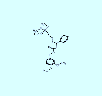 COc1ccc(COC(=O)CC(SCCC[Si](OC)(OC)OC)c2ccccc2)cc1OC